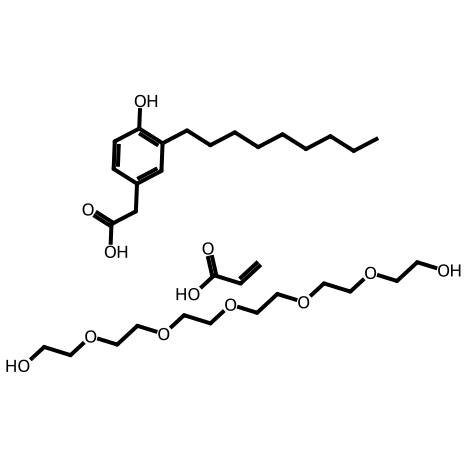 C=CC(=O)O.CCCCCCCCCc1cc(CC(=O)O)ccc1O.OCCOCCOCCOCCOCCOCCO